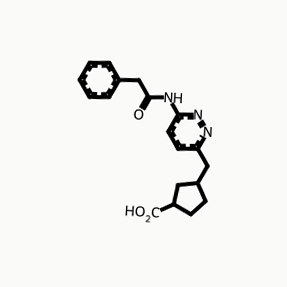 O=C(Cc1ccccc1)Nc1ccc(CC2CCC(C(=O)O)C2)nn1